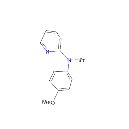 COc1ccc(N(c2ccccn2)C(C)C)cc1